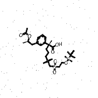 CC(=O)O[C@H](C)Cc1cccc([C@@](C)(CCCC(C)(C)CS(=O)(=O)CCO[Si](C)(C)C(C)(C)C)C(=O)O)c1